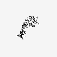 Cn1nc(CC(CC(=O)O)c2cc(C(C)(C)C)cc(C(C)(C)C(F)(F)F)c2)cc1OCCc1ccc2c(n1)NCCC2